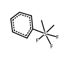 CS(C)(F)(F)(F)c1ccccc1